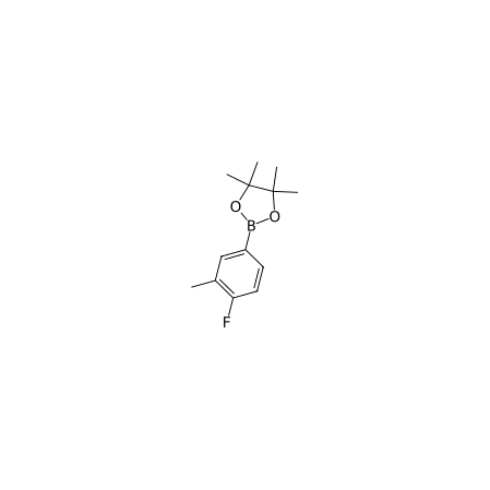 Cc1cc(B2OC(C)(C)C(C)(C)O2)ccc1F